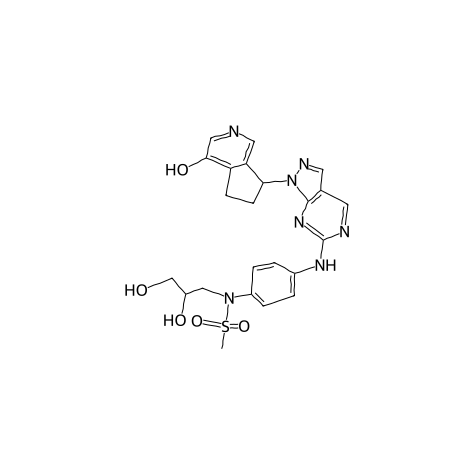 CS(=O)(=O)N(CC(O)CO)c1ccc(Nc2ncc3cnn(C4CCc5c(O)cncc54)c3n2)cc1